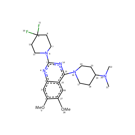 COc1cc2nc(N3CCC(F)(F)CC3)nc(N3CCC(N(C)C)CC3)c2cc1OC